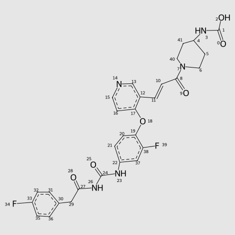 O=C(O)NC1CCN(C(=O)/C=C/c2cnccc2Oc2ccc(NC(=O)NC(=O)Cc3ccc(F)cc3)cc2F)CC1